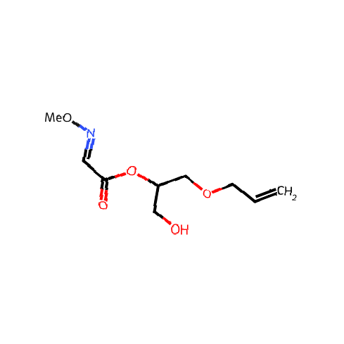 C=CCOCC(CO)OC(=O)C=NOC